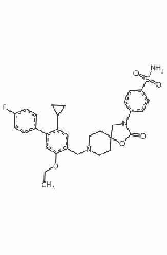 CCOc1cc(-c2ccc(F)cc2)c(C2CC2)cc1CN1CCC2(CC1)CN(c1ccc(S(N)(=O)=O)cc1)C(=O)O2